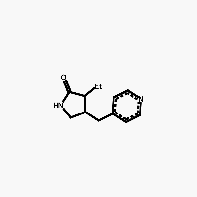 CCC1C(=O)NCC1Cc1ccncc1